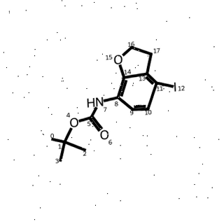 CC(C)(C)OC(=O)Nc1ccc(I)c2c1OCC2